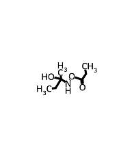 CCC(=O)ONC(C)(O)CC